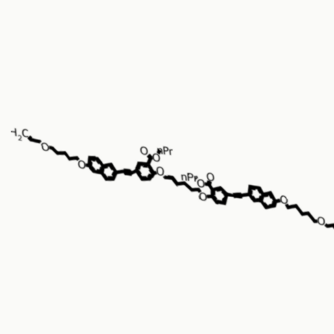 C=CCOCCCCCOc1ccc2cc(C#Cc3ccc(OCCCCCCOc4ccc(C#Cc5ccc6cc(OCCCCCOCC=C)ccc6c5)cc4C(=O)OCCC)c(C(=O)OCCC)c3)ccc2c1